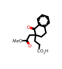 COC(=O)CC1(CCC(=O)O)CCc2ccccc2C1=O